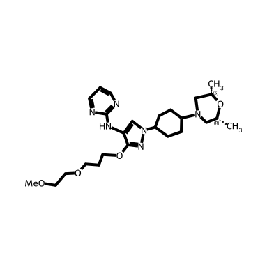 COCCOCCCOc1nn(C2CCC(N3C[C@@H](C)O[C@@H](C)C3)CC2)cc1Nc1ncccn1